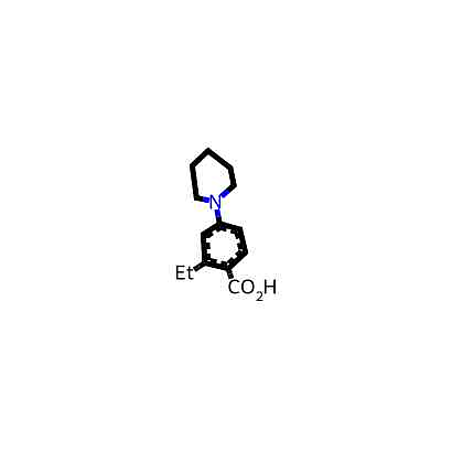 CCc1cc(N2CCCCC2)ccc1C(=O)O